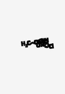 CCCCOC(=O)N1CCN/C1=N\c1ccc(Cl)cc1Cl